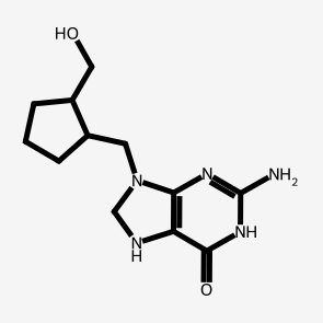 Nc1nc2c(c(=O)[nH]1)NCN2CC1CCCC1CO